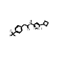 O=C(Cc1ccc(C(F)(F)F)cc1)Nc1cc(C2CCC2)[nH]n1